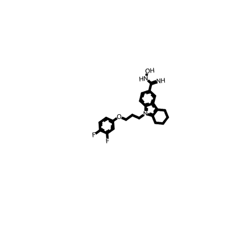 N=C(NO)c1ccc2c(c1)c1c(n2CCCOc2ccc(F)c(F)c2)CCCC1